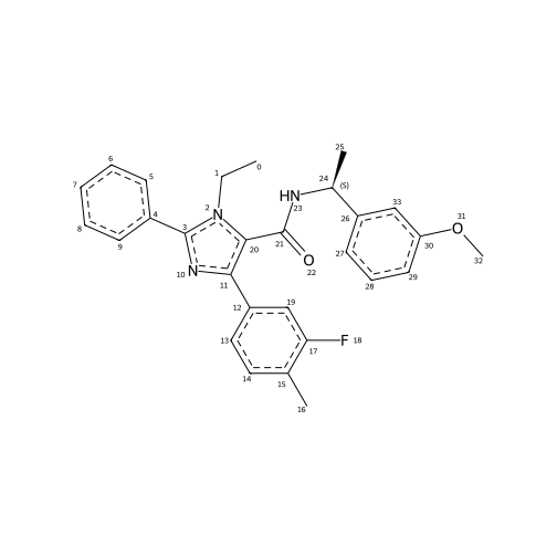 CCn1c(-c2ccccc2)nc(-c2ccc(C)c(F)c2)c1C(=O)N[C@@H](C)c1cccc(OC)c1